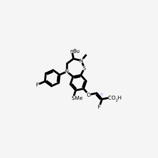 CCCCC1CN(c2ccc(F)cc2)c2cc(SC)c(O/C=C(\F)C(=O)O)cc2SN1C